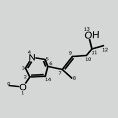 COc1cncc(C(C)=CCC(C)O)c1